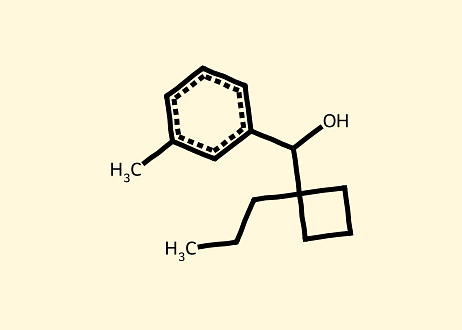 CCCC1(C(O)c2cccc(C)c2)CCC1